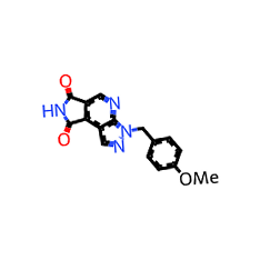 COc1ccc(Cn2ncc3c4c(cnc32)C(=O)NC4=O)cc1